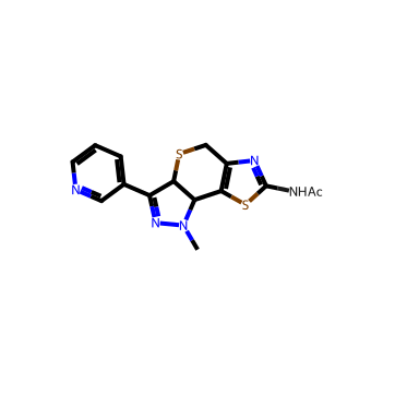 CC(=O)Nc1nc2c(s1)C1C(SC2)C(c2cccnc2)=NN1C